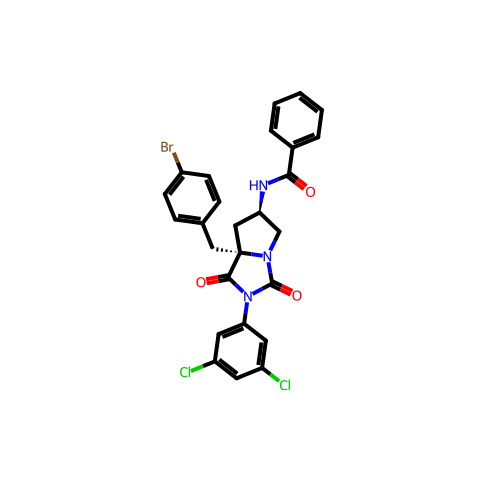 O=C(N[C@H]1CN2C(=O)N(c3cc(Cl)cc(Cl)c3)C(=O)[C@@]2(Cc2ccc(Br)cc2)C1)c1ccccc1